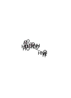 COc1ccccc1C(c1ccccc1)(c1ccccc1OC)C(O)[C@H]1O[C@@H](n2cc(/C=C/CCCCNC(=O)C(F)(F)F)c(=O)[nH]c2=O)C[C@@H]1O